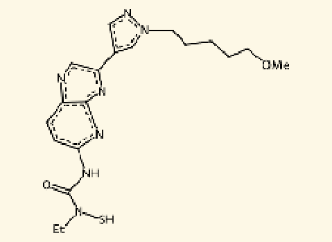 CCN(S)C(=O)Nc1ccc2ncc(-c3cnn(CCCCCOC)c3)nc2n1